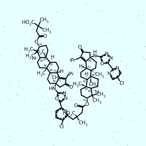 CC(C)C1=C2[C@H]3CC[C@@H]4[C@@]5(C)CC[C@H](OC(=O)CC(C)(C)C(=O)O)C(C)(C)[C@@H]5CC[C@@]4(C)[C@]3(C)CC[C@@]2(Nc2nnc(-c3ccc(Cl)c(CC(C)(CC(=O)O[C@H]4CC[C@]5(C)[C@H]6CC[C@@H]7C8=C(C(C)C)C(=O)C[C@]8(Nc8nnc(-c9ncc(Cl)cn9)o8)CC[C@@]7(C)[C@]6(C)CC[C@H]5C4(C)C)C(=O)O)n3)o2)CC1=O